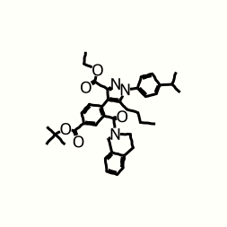 CCCCc1c(-c2ccc(C(=O)OC(C)(C)C)cc2C(=O)N2CCc3ccccc3C2)c(C(=O)OCC)nn1-c1ccc(C(C)C)cc1